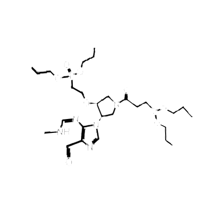 CCCOP(CCC(=O)N1C[C@H](OCCP(=O)(OCCC)OCCC)[C@H](n2cnc(C=O)c2/N=C\NC)C1)OCCC